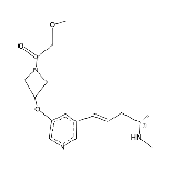 CN[C@@H](C)CC=Cc1cncc(OC2CN(C(=O)COC)C2)c1